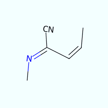 C/C=C\C(C#N)=N/C